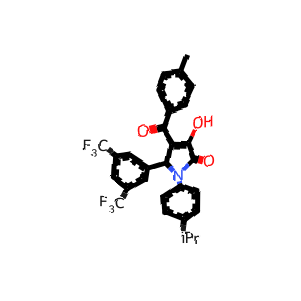 Cc1ccc(C(=O)C2=C(O)C(=O)N(c3ccc(C(C)C)cc3)C2c2cc(C(F)(F)F)cc(C(F)(F)F)c2)cc1